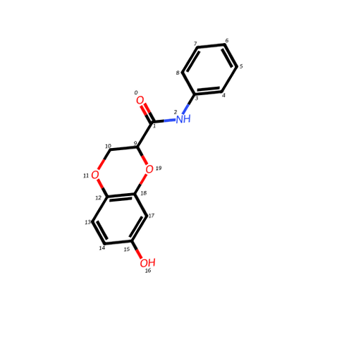 O=C(Nc1ccccc1)C1COc2ccc(O)cc2O1